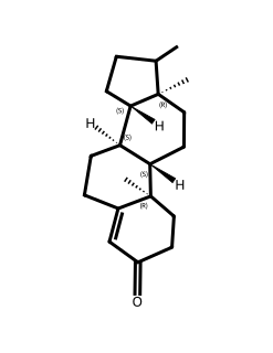 CC1CC[C@H]2[C@@H]3CCC4=CC(=O)CC[C@]4(C)[C@H]3CC[C@]12C